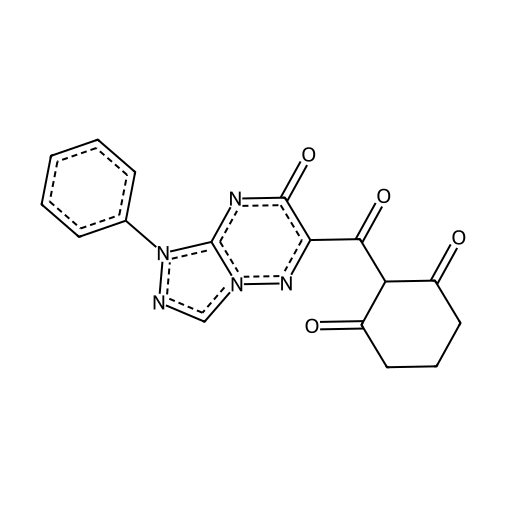 O=C1CCCC(=O)C1C(=O)c1nn2cnn(-c3ccccc3)c2nc1=O